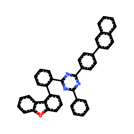 c1ccc(-c2nc(-c3ccc(-c4ccc5ccccc5c4)cc3)nc(-c3ccccc3-c3cccc4oc5ccccc5c34)n2)cc1